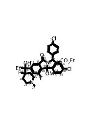 CCOC(=O)CC(c1ccc(Cl)cc1)N1C(=O)c2cc(C(O)(CC)C3(F)CCN(C)CC3)cc(F)c2C1(OC)c1ccc(Cl)cc1